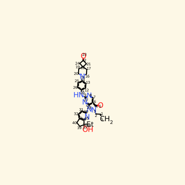 C=CCn1c(=O)c2cnc(Nc3ccc(N4CCC5(CC4)CC(=O)C5)cc3)nc2n1-c1ccc2c(n1)[C@@](O)(CC)CC2